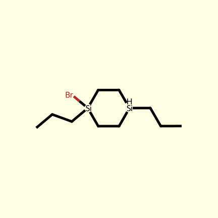 CCC[SiH]1CC[Si](Br)(CCC)CC1